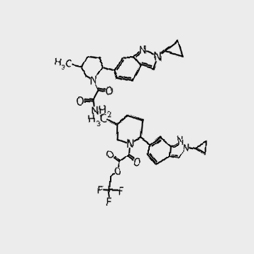 CC1CCC(c2ccc3cn(C4CC4)nc3c2)N(C(=O)C(=O)OCC(F)(F)F)C1.CC1CCC(c2ccc3cn(C4CC4)nc3c2)N(C(=O)C(N)=O)C1